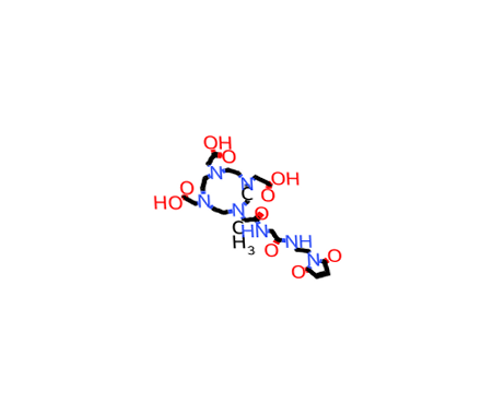 CC(C(=O)NCC(=O)NCCN1C(=O)C=CC1=O)N1CCN(CC(=O)O)CCN(CC(=O)O)CCN(CC(=O)O)CC1